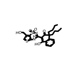 CCCCC1(CCCC)C(=O)C(C2=NS(=O)(=O)c3c(CO)csc3N2)=C(O)c2ccccc21